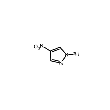 [2H]n1cc([N+](=O)[O-])cn1